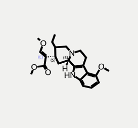 CCC1CN2CCc3c([nH]c4cccc(OC)c34)[C@@H]2C[C@@H]1/C(=C\OC)C(=O)OC